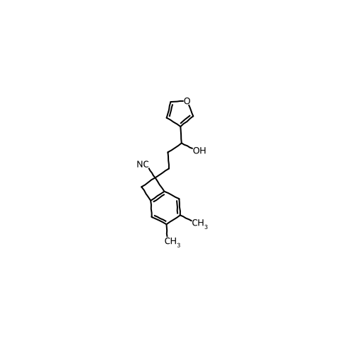 Cc1cc2c(cc1C)C(C#N)(CCC(O)c1ccoc1)C2